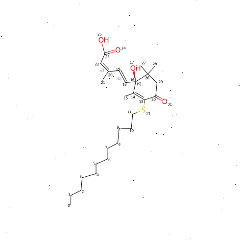 CCCCCCCCCCCCSC1=C(C)[C@](O)(/C=C/C(C)=C\C(=O)O)C(C)(C)CC1=O